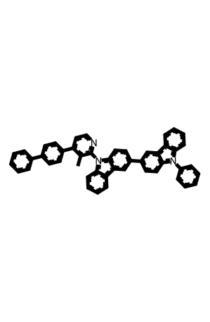 Cc1c(-c2ccc(-c3ccccc3)cc2)ccnc1-n1c2ccccc2c2cc(-c3ccc4c(c3)c3ccccc3n4-c3ccccc3)ccc21